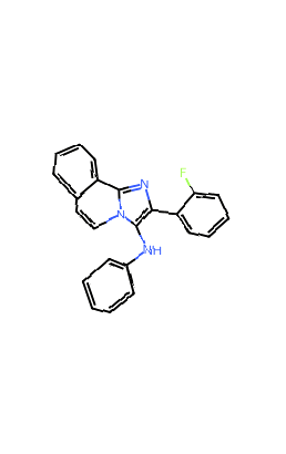 Fc1ccccc1-c1nc2c3ccccc3ccn2c1Nc1ccccc1